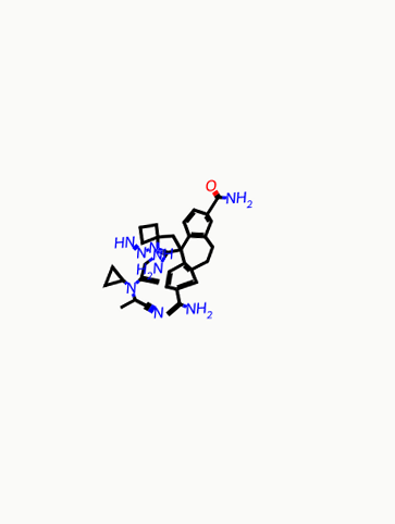 C=C(N)c1ccc2c(c1)CCc1cc(C(N)=O)ccc1C2(CC1(NCC(=C)N(C(C)C#N)C2CC2)CCC1)/C(N)=N/N=N